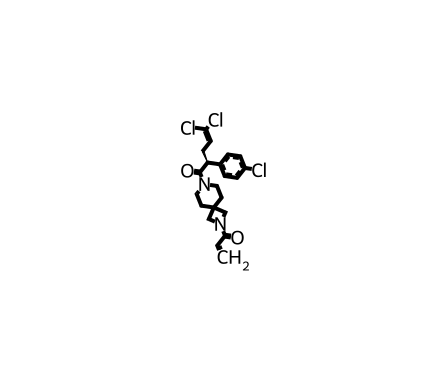 C=CC(=O)N1CC2(CCN(C(=O)[C@@H](CC=C(Cl)Cl)c3ccc(Cl)cc3)CC2)C1